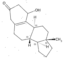 C[C@@]12CCC[C@H]1[C@@H]1CCC3=C(C(O)CC(=O)C3)[C@H]1CC2